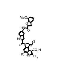 COc1cccc2cc(C(=O)Nc3ccc4[nH]c(C(=O)N5C[C@@H](CCl)c6c5cc(O)c5[nH]c(C(F)(F)F)c(C(=O)O)c65)cc4c3)oc12